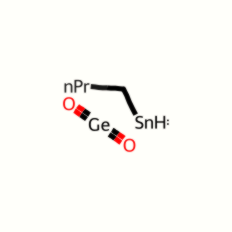 CCC[CH2][SnH].[O]=[Ge]=[O]